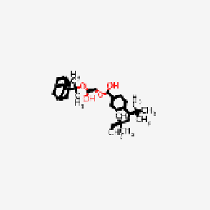 CCC(C)(C)CC(C1=CCC(C(O)OCC(O)OC(C)(C)C23CC4CC(CC(C4)C2)C3)CC1)C(C)(C)C